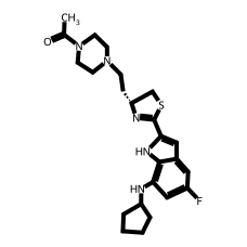 CC(=O)N1CCN(CC[C@@H]2CSC(c3cc4cc(F)cc(NC5CCCC5)c4[nH]3)=N2)CC1